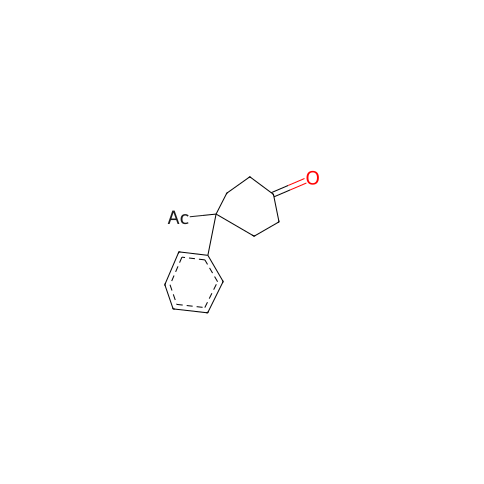 CC(=O)C1(c2ccccc2)CCC(=O)CC1